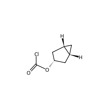 O=C(Cl)O[C@@H]1C[C@@H]2C[C@@H]2C1